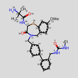 CCNC(=O)NCc1ccccc1-c1ccc(CN2Cc3ccc(OC)cc3S[C@@H](NC(=O)C(C)(C)N)C2=O)cc1